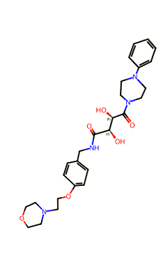 O=C(NCc1ccc(OCCN2CCOCC2)cc1)[C@H](O)[C@@H](O)C(=O)N1CCN(c2ccccc2)CC1